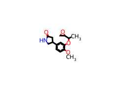 COc1ccc(C2CNC(=O)C2)cc1OC(C)C1CO1